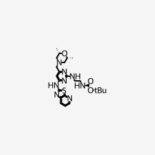 C[C@@H]1CN(Cc2cc(Nc3nc4cccnc4s3)nc(NCCNC(=O)OC(C)(C)C)n2)C[C@H](C)O1